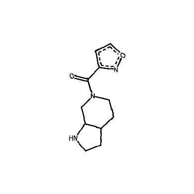 O=C(c1ccon1)N1CCC2CCNC2C1